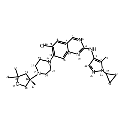 Cc1c(Nc2ncc3cc(Cl)c(N4CCN([C@]5(C)COC(C)(C)C5)CC4)cc3n2)cnn1C1CC1